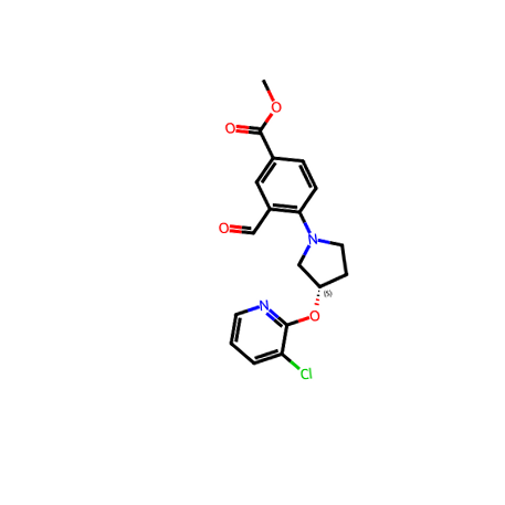 COC(=O)c1ccc(N2CC[C@H](Oc3ncccc3Cl)C2)c(C=O)c1